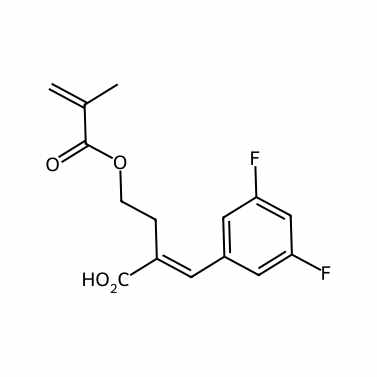 C=C(C)C(=O)OCCC(=Cc1cc(F)cc(F)c1)C(=O)O